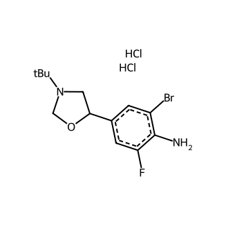 CC(C)(C)N1COC(c2cc(F)c(N)c(Br)c2)C1.Cl.Cl